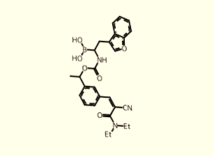 CCN(CC)C(=O)C(C#N)=Cc1cccc(C(C)OC(=O)NC(Cc2coc3ccccc23)B(O)O)c1